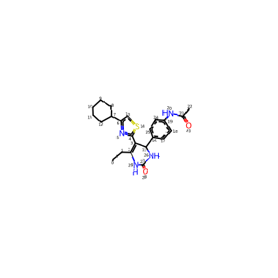 CCC1=C(c2nc(C3CCCCC3)cs2)C(c2ccc(NC(C)=O)cc2)NC(=O)N1